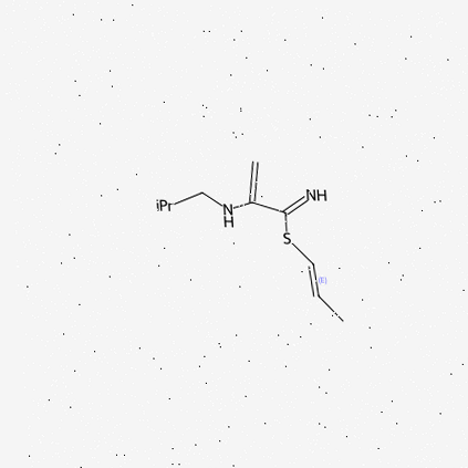 C=C(NCC(C)C)C(=N)S/C=C/C